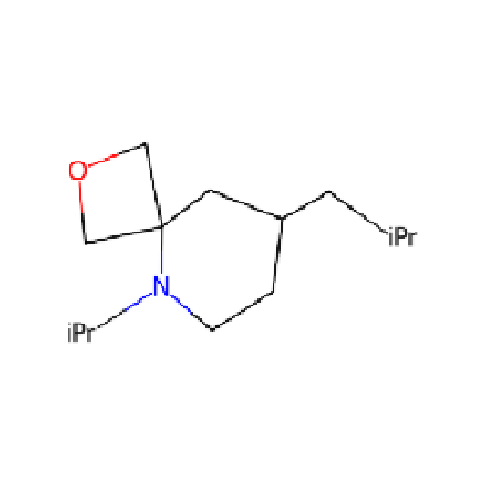 CC(C)CC1CCN(C(C)C)C2(COC2)C1